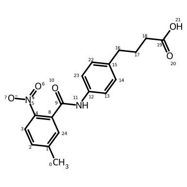 Cc1ccc([N+](=O)[O-])c(C(=O)Nc2ccc(CCCC(=O)O)cc2)c1